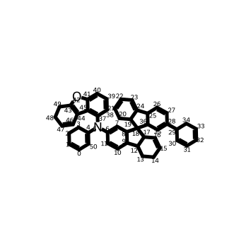 C1=CCCC(N(C2=CC3C(C=C2)C2CCC=CC2C32C3CC=CC=C3C3C=CC(C4C=CC=CC4)=CC32)c2cccc3oc4c(c23)C=CCC4)=C1